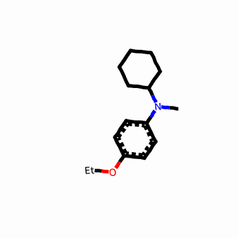 CCOc1ccc(N(C)C2CCCCC2)cc1